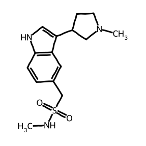 CNS(=O)(=O)Cc1ccc2[nH]cc(C3CCN(C)C3)c2c1